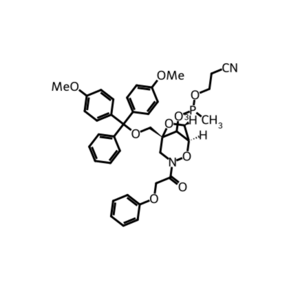 [3H][C@@H]1O[C@@]2(COC(c3ccccc3)(c3ccc(OC)cc3)c3ccc(OC)cc3)CN(C(=O)COc3ccccc3)O[C@H]1C2OP(C)OCCC#N